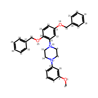 COc1cccc(N2CCN(c3cc(OCc4ccccc4)ccc3OCc3ccccc3)CC2)c1